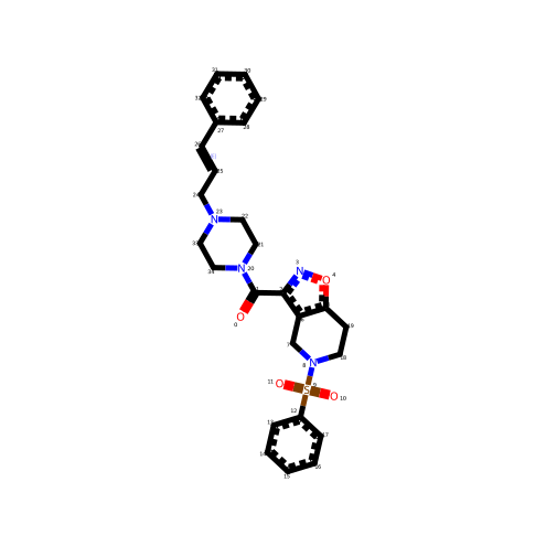 O=C(c1noc2c1CN(S(=O)(=O)c1ccccc1)CC2)N1CCN(C/C=C/c2ccccc2)CC1